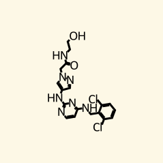 O=C(Cn1cc(Nc2nccc(NCc3c(Cl)cccc3Cl)n2)cn1)NCCO